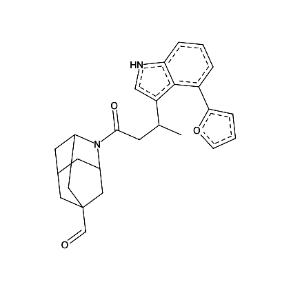 CC(CC(=O)N1C2CC3CC1CC(C=O)(C3)C2)c1c[nH]c2cccc(-c3ccco3)c12